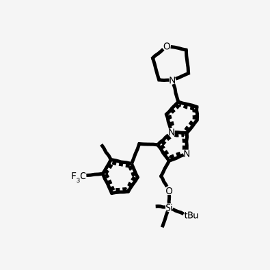 Cc1c(Cc2c(CO[Si](C)(C)C(C)(C)C)nc3ccc(N4CCOCC4)cn23)cccc1C(F)(F)F